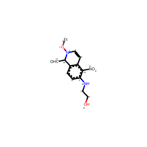 CCON1C=Cc2c(ccc(NCCO)c2[N+](=O)[O-])C1C=O